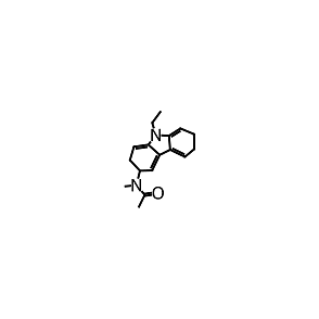 CCn1c2c(c3c1=CCC(N(C)C(C)=O)C=3)=CCCC=2